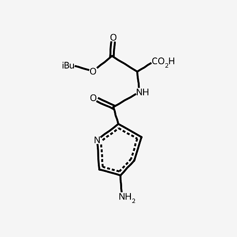 CCC(C)OC(=O)C(NC(=O)c1ccc(N)cn1)C(=O)O